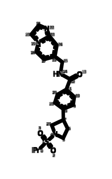 CC(C)S(=O)(=O)N1CCC(c2ccc(C(=O)NCc3ccn4ccnc4c3)cc2)C1